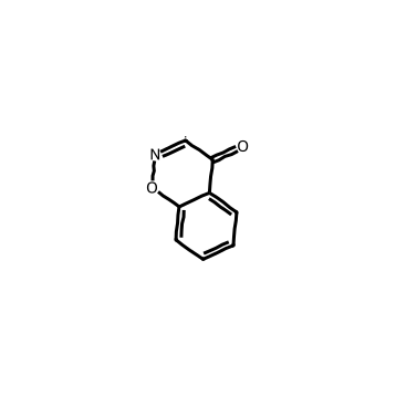 O=c1[c]noc2ccccc12